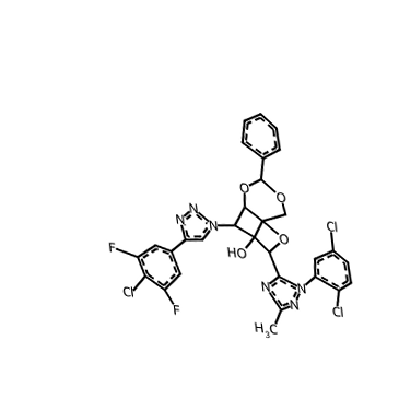 Cc1nc(C2OC34COC(c5ccccc5)OC3C(n3cc(-c5cc(F)c(Cl)c(F)c5)nn3)C24O)n(-c2cc(Cl)ccc2Cl)n1